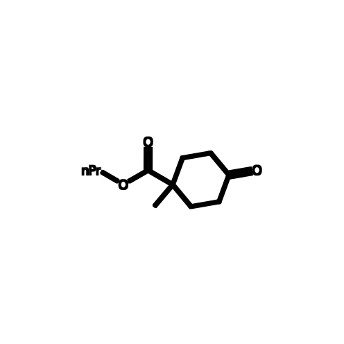 CCCOC(=O)C1(C)CCC(=O)CC1